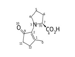 CC1=C(N2CCC[C@H]2C(=O)O)C(=O)CC1